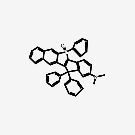 CN(C)c1ccc2c(c1)C(c1ccccc1)(c1ccccc1)C1=C2P(=O)(c2ccccc2)c2cc3ccccc3cc21